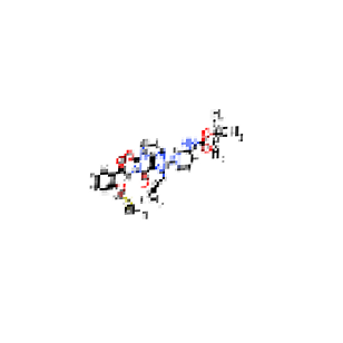 CC#CCn1c(N2CCCC(NC(=O)OC(C)(C)C)C2)nc2c1c(=O)n(CC(=O)c1ccccc1OCSC)c(=O)n2C